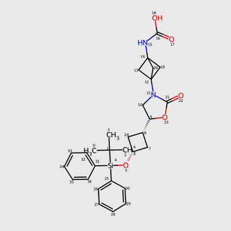 CC(C)(C)[Si](O[C@H]1C[C@@H](C2CN(C34CC(NC(=O)O)(C3)C4)C(=O)O2)C1)(c1ccccc1)c1ccccc1